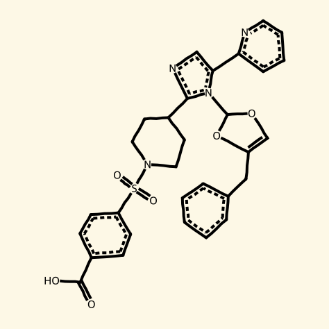 O=C(O)c1ccc(S(=O)(=O)N2CCC(c3ncc(-c4ccccn4)n3C3OC=C(Cc4ccccc4)O3)CC2)cc1